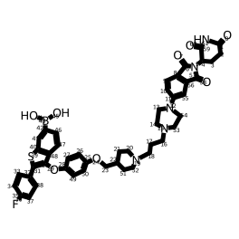 O=C1CCC(N2C(=O)c3ccc(N4CCN(CCCN5CCC(COc6ccc(Oc7c(-c8ccc(F)cc8)sc8cc(B(O)O)ccc78)cc6)CC5)CC4)cc3C2=O)C(=O)N1